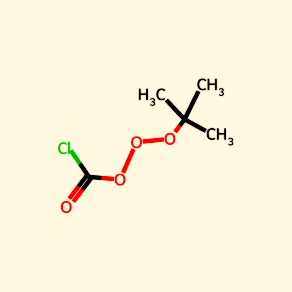 CC(C)(C)OOOC(=O)Cl